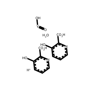 O.O=C(O)c1ncccc1O.O=C(O)c1ncccc1O.[H+].[O]=[V][OH]